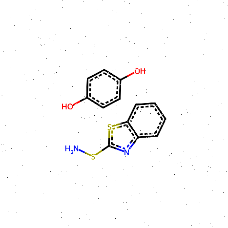 NSc1nc2ccccc2s1.Oc1ccc(O)cc1